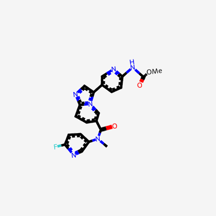 COC(=O)Nc1ccc(-c2cnc3ccc(C(=O)N(C)c4ccc(F)nc4)cn23)cn1